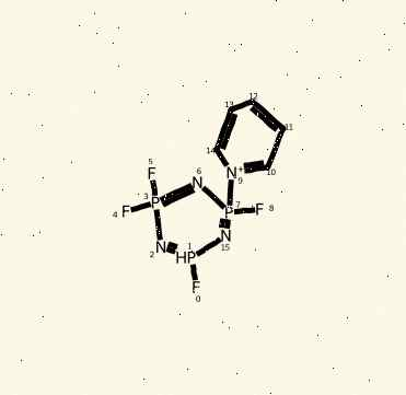 F[PH]1=NP(F)(F)=NP(F)([n+]2ccccc2)=N1